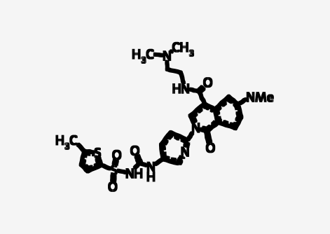 CNc1ccc2c(=O)n(-c3ccc(NC(=O)NS(=O)(=O)c4ccc(C)s4)cn3)cc(C(=O)NCCN(C)C)c2c1